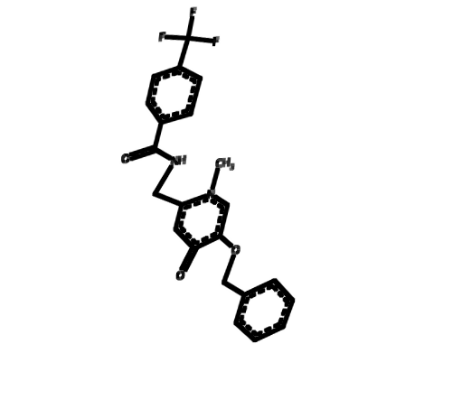 Cn1cc(OCc2ccccc2)c(=O)cc1CNC(=O)c1ccc(C(F)(F)F)cc1